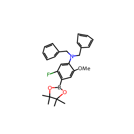 COc1cc(B2OC(C)(C)C(C)(C)O2)c(F)cc1N(Cc1ccccc1)Cc1ccccc1